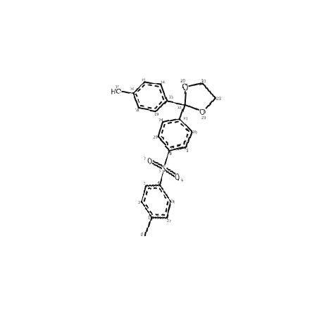 Cc1ccc(S(=O)(=O)c2ccc(C3(c4ccc(O)cc4)OCCO3)cc2)cc1